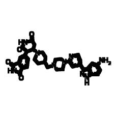 Nc1ccc2[nH]nc(-c3ccnc(N4CCN(CC5CCN(C6CC(=O)NC(=O)C6c6ccc7c(c6)C(=O)NC7=O)CC5)CC4)c3)c2c1